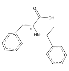 CC(N[C@H](Cc1ccccc1)C(=O)O)c1ccccc1